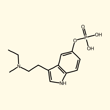 CCN(C)CCc1c[nH]c2ccc(OP(=O)(O)O)cc12